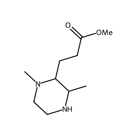 COC(=O)CCC1C(C)NCCN1C